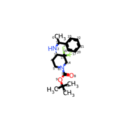 CC(N[C@H]1CCN(C(=O)OC(C)(C)C)CC1(F)F)c1ccccc1